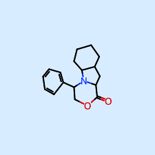 O=C1OCC(c2ccccc2)N2C1CC1CCCCC12